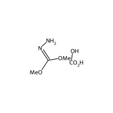 COC(=NN)OC.O=C(O)O